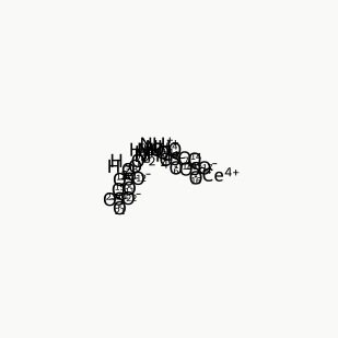 O.O.O.O.O=S(=O)([O-])[O-].O=S(=O)([O-])[O-].O=S(=O)([O-])[O-].O=S(=O)([O-])[O-].[Ce+4].[NH4+].[NH4+].[NH4+].[NH4+]